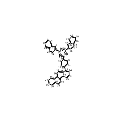 c1ccc2cc(-c3nc(-c4ccc(-c5cccc6c5ccc5c7ccccc7ccc65)cc4)nc(-c4ccc5ccccc5c4)n3)ccc2c1